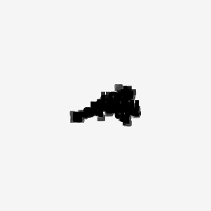 Cc1nn(COCC[Si](C)(C)C)c(C)c1-c1ccc(NC(=O)[C@@H](NC(=O)c2ccnn2[C@@H](C)CO)C(C2CC2)C2CC2)nc1F